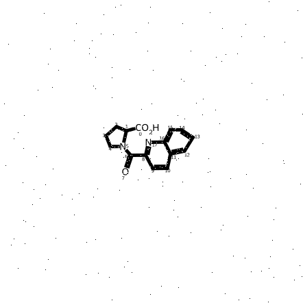 O=C(O)C1CCCN1C(=O)c1ccc2ccccc2n1